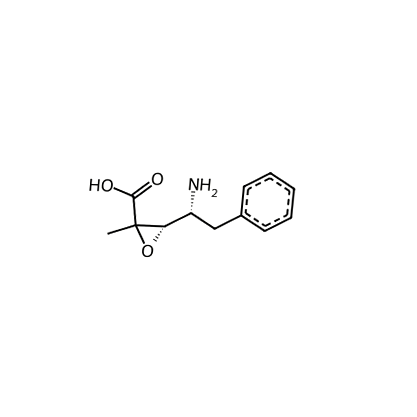 CC1(C(=O)O)O[C@H]1[C@H](N)Cc1ccccc1